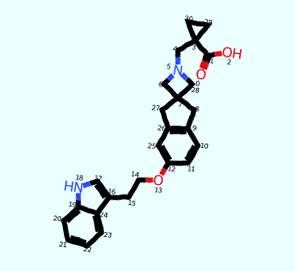 O=C(O)C1(CN2CC3(Cc4ccc(OCCc5c[nH]c6ccccc56)cc4C3)C2)CC1